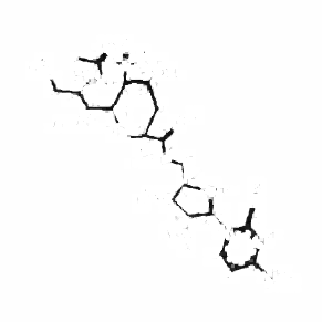 CC(=O)N[C@]1(P(=O)(O)O)[C@@H](O)C[C@@](O)(C(=O)OC[C@H]2O[C@@H](n3ccc(N)nc3=O)[C@H](O)[C@@H]2O)O[C@H]1[C@H](O)[C@H](O)CO